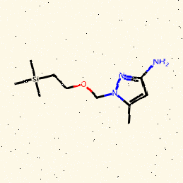 Cc1cc(N)nn1COCC[Si](C)(C)C